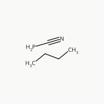 CCCC.N#CP